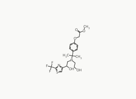 COC(=O)COc1ccc(C(C)(C)N(CCO)CC(O)c2csc(C(F)(F)F)n2)cc1